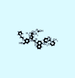 C[C@@H]1CCC[C@H](C)N1c1nnc2ccc(O[C@@H]3CC[C@H](NC(=O)Nc4cc(C(C)(C)C)nn4-c4ccc(CO)c(OCCN5CCCC5)c4)c4ccccc43)cn12.O=CO